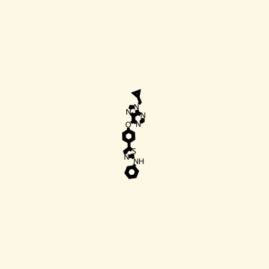 c1ccc(Nc2ncc(-c3ccc(Oc4ncnc5c4ncn5CC4CC4)cc3)s2)cc1